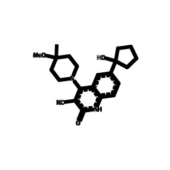 COC1(C)CCN(c2c(C#N)c(=O)[nH]c3ccc(C4(O)CCCC4)cc23)CC1